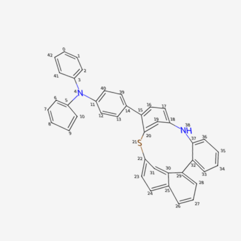 c1ccc(N(c2ccccc2)c2ccc(-c3ccc4cc3sc3ccc5cccc(c5c3)c3ccccc3[nH]4)cc2)cc1